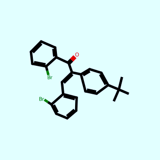 CC(C)(C)c1ccc(/C(=C\c2ccccc2Br)C(=O)c2ccccc2Br)cc1